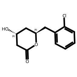 O=C1C[C@H](O)C[C@@H](Cc2ccccc2Cl)O1